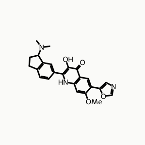 COc1cc2[nH]c(-c3ccc4c(c3)C(N(C)C)CC4)c(O)c(=O)c2cc1-c1cnco1